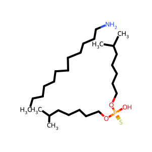 CC(C)CCCCCOP(O)(=S)OCCCCCC(C)C.CCCCCCCCCCCCN